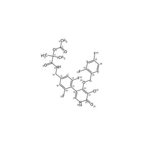 CC(=O)OC(C)(C)C(=O)NCc1cc(F)c(-c2c[nH]c(=O)c(Cl)c2OCc2ccc(F)cc2F)c(F)c1